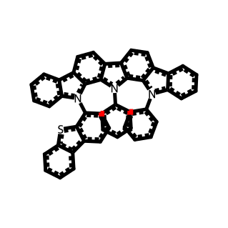 c1ccc(-n2c3ccccc3c3ccc4c5ccc6c7ccccc7n(-c7cccc8c7sc7ccccc78)c6c5n(-c5ccccc5)c4c32)cc1